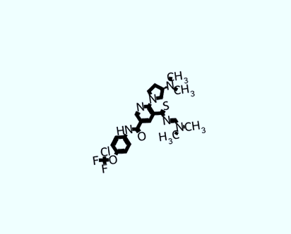 CN(C)/C=N/C(=S)c1cc(C(=O)Nc2ccc(OC(F)(F)Cl)cc2)cnc1N1CC[C@@H](N(C)C)C1